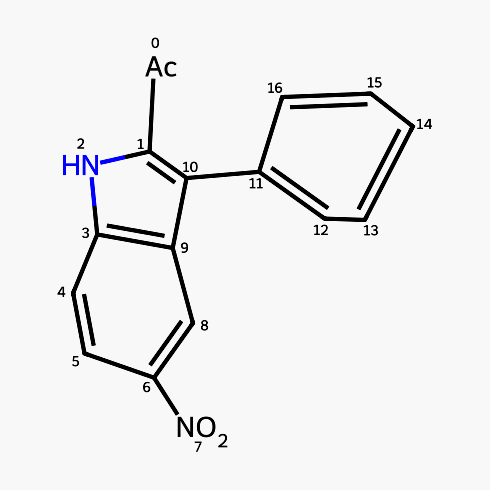 CC(=O)c1[nH]c2ccc([N+](=O)[O-])cc2c1-c1ccccc1